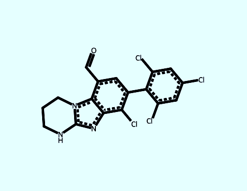 O=Cc1cc(-c2c(Cl)cc(Cl)cc2Cl)c(Cl)c2nc3n(c12)CCCN3